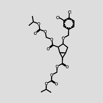 CC(C)OC(=O)OCOC(=O)C1C(OCc2ccc(Cl)c(Cl)c2)CC2C(C(=O)OCOC(=O)OC(C)C)C21